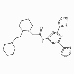 O=C(CN1CCCCC1CCN1CCCCC1)Nc1cc(-c2nccs2)nc(-c2cccs2)n1